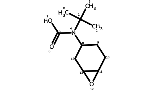 CC(C)(C)N(C(=O)O)C1CCC2OC2C1